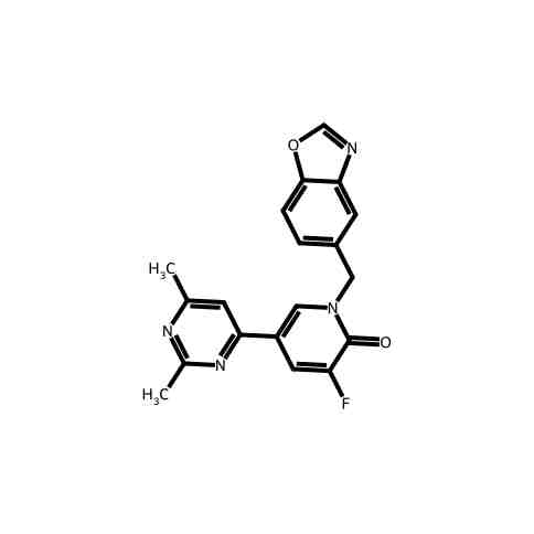 Cc1cc(-c2cc(F)c(=O)n(Cc3ccc4ocnc4c3)c2)nc(C)n1